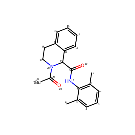 Cc1cccc(C)c1NC(=O)C1c2ccccc2CCN1C(=O)C(C)(C)C